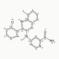 Cc1cccc2cc(N(C)c3ccnc(C(N)=O)c3)c(-c3ccccc3Cl)nc12